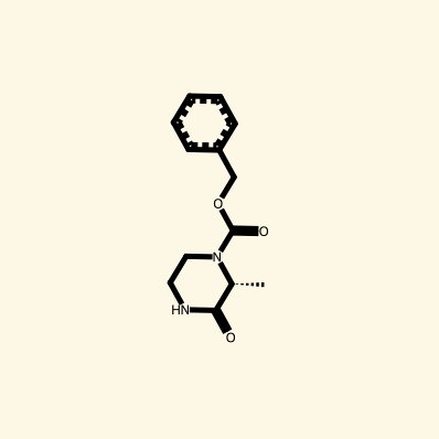 C[C@@H]1C(=O)NCCN1C(=O)OCc1ccccc1